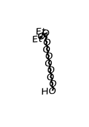 CCON(CCOCCOCCOCCOCCOCCOCCOCCO)OCC